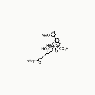 CCCCCCCC(=O)CCCCCC/C=C/[C@H](C(=O)N[C@@H](Cc1ccc(-c2cncc(OC)c2)cc1)C(=O)O)[C@@](O)(CC(=O)O)C(=O)O